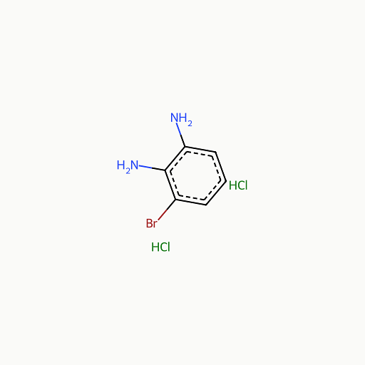 Cl.Cl.Nc1cccc(Br)c1N